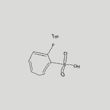 O=S(=O)(O)c1ccccc1F.[Tm]